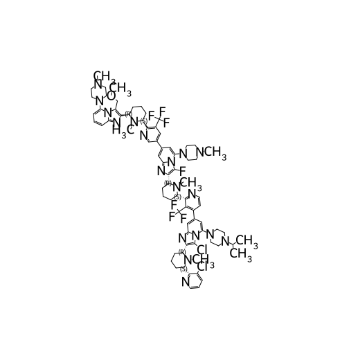 COCc1c([C@H]2CCC[C@@H](c3ncc(-c4cc(N5CCN(C)CC5)n5c(F)c([C@H]6CCC[C@@H](c7nccc(-c8cc(N9CCN(C(C)C)CC9)n9c(Cl)c([C@H]%10CCC[C@@H](c%11ncccc%11Cl)N%10C)nc9c8)c7C(F)(F)F)N6C)nc5c4)cc3C(F)(F)F)N2C)nc2cccc(N3CCN(C)CC3)n12